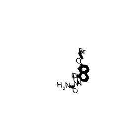 NC(=O)NN=C1C=Cc2ccc(OCCBr)cc2C1=O